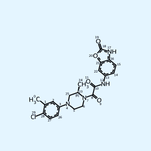 Cc1cc(N2CCN(C(=O)C(=O)Nc3ccc4[nH]c(=O)oc4c3)[C@H](C)C2)ccc1Cl